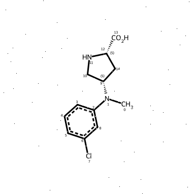 CN(c1cccc(Cl)c1)[C@@H]1CN[C@H](C(=O)O)C1